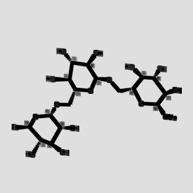 CC[C@H]1O[C@H](OC[C@H]2O[C@H](OC[C@H]3O[C@H](OC)[C@H](O)[C@@H](O)[C@@H]3O)[C@H](O)[C@@H](O)[C@@H]2O)[C@H](O)[C@@H](O)[C@@H]1O